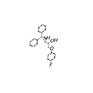 OC(CNC(c1ccccc1)c1ccccc1)COc1ccc(F)cc1